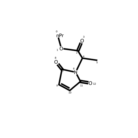 CCCOC(=O)C(C)N1C(=O)C=CC1=O